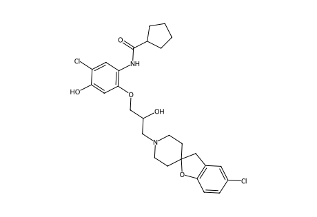 O=C(Nc1cc(Cl)c(O)cc1OCC(O)CN1CCC2(CC1)Cc1cc(Cl)ccc1O2)C1CCCC1